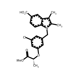 COC(=O)[C@@H](C)Oc1cc(Cl)cc(Cn2c(C)c(C)c3cc(C(=O)O)ccc32)c1